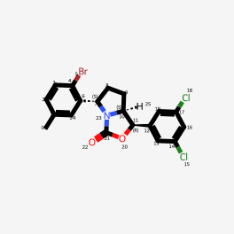 Cc1ccc(Br)c([C@@H]2CC[C@H]3[C@@H](c4cc(Cl)cc(Cl)c4)OC(=O)N23)c1